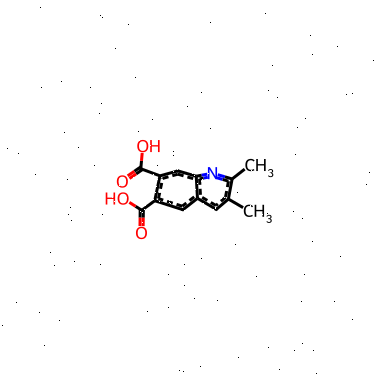 Cc1cc2cc(C(=O)O)c(C(=O)O)cc2nc1C